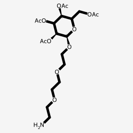 CC(=O)OCC1O[C@@H](OCCOCCOCCN)[C@@H](OC(C)=O)C(OC(C)=O)[C@H]1OC(C)=O